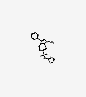 Cn1cc(-c2ccccc2)c2ccc(S(=O)(=O)Nc3ncns3)cc21